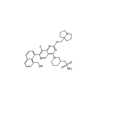 NS(=O)(=O)CC1CCCN(c2nc(OCC34CCCN3CCC4)nc3c(F)c(-c4cccc5cccc(CO)c45)ncc23)C1